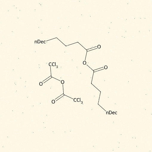 CCCCCCCCCCCCCC(=O)OC(=O)CCCCCCCCCCCCC.O=C(OC(=O)C(Cl)(Cl)Cl)C(Cl)(Cl)Cl